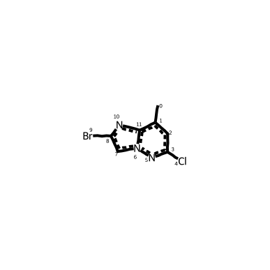 Cc1cc(Cl)nn2cc(Br)nc12